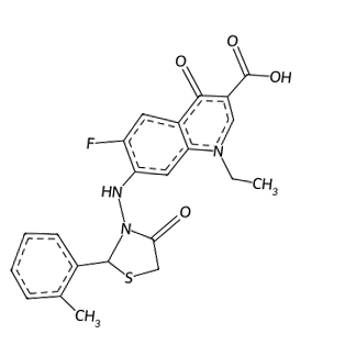 CCn1cc(C(=O)O)c(=O)c2cc(F)c(NN3C(=O)CSC3c3ccccc3C)cc21